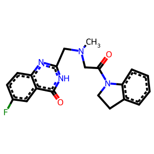 CN(CC(=O)N1CCc2ccccc21)Cc1nc2ccc(F)cc2c(=O)[nH]1